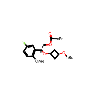 CCCCO[C@H]1C[C@@H](O[C@@H](COC(=O)CCC)c2cc(F)ccc2OC)C1